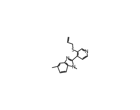 C=CCSc1cnccc1-c1nc2cc(C)ccc2n1C